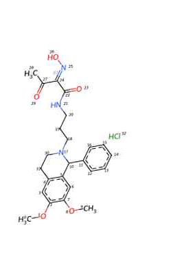 COc1cc2c(cc1OC)C(c1ccccc1)N(CCCNC(=O)/C(=N/O)C(C)=O)CC2.Cl